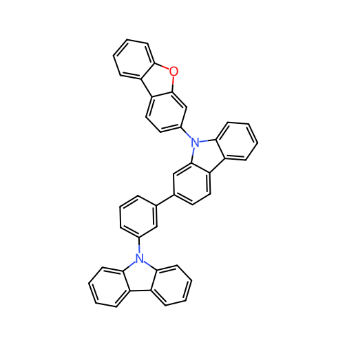 c1cc(-c2ccc3c4ccccc4n(-c4ccc5c(c4)oc4ccccc45)c3c2)cc(-n2c3ccccc3c3ccccc32)c1